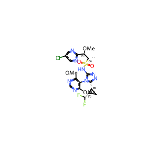 COc1ncnc(OC)c1-n1c(NS(=O)(=O)[C@@H](C)[C@H](OC)c2ncc(Cl)cn2)nnc1[C@@H]1C[C@@H]1C(F)F